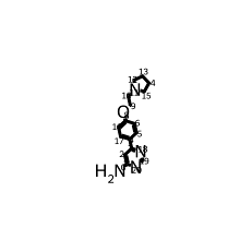 Nc1cc(-c2ccc(OCCN3CCCC3)cc2)ncn1